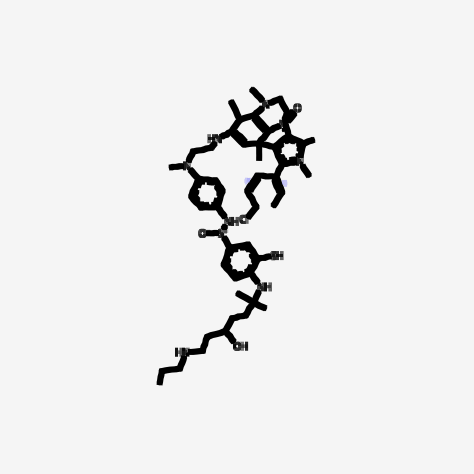 C/C=C(\C=C/CCl)c1c(C2(C)C=C(NCCN(C)c3ccc(N[S+]([O-])c4ccc(NC(C)(C)CCC(O)CCNCCC)c(S)c4)cc3)C(C)C3=C2N(C)CCN3C)c(C=O)c(C)n1C